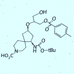 Cc1ccc(S(=O)(=O)OCC(CO)O[C@H]2C[C@@H](NC(=O)OC(C)(C)C)C3(CCN(C(=O)O)CC3)C2)cc1